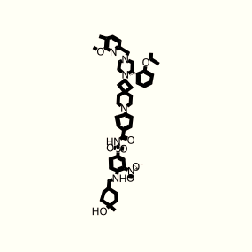 COc1nc(CN2CCN(C3CC4(CCN(c5ccc(C(=O)NS(=O)(=O)c6ccc(NCC7CCC(C)(O)CC7)c([N+](=O)[O-])c6)cc5)CC4)C3)[C@@H](c3ccccc3OC(C)C)C2)ccc1C